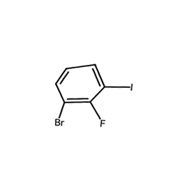 Fc1c(Br)cccc1I